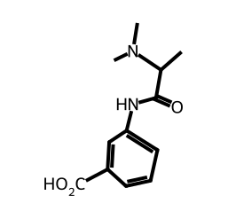 CC(C(=O)Nc1cccc(C(=O)O)c1)N(C)C